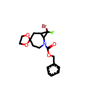 O=C(OCc1ccccc1)N1CCC2(CC3C1C3(F)Br)OCCO2